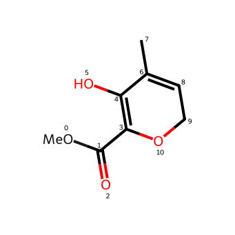 COC(=O)C1=C(O)C(C)=CCO1